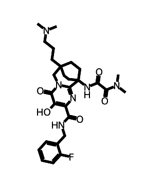 CN(C)CCCC12CCC(NC(=O)C(=O)N(C)C)(CC1)c1nc(C(=O)NCc3ccccc3F)c(O)c(=O)n1C2